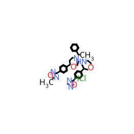 Cc1nc(-c2ccc(C3CCN(C(C)c4ccccc4)CCO3)cc2)no1.Cl.c1noc(-c2ccc(C3CNCCOC3)cc2)n1